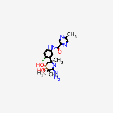 Cc1cnc(C(=O)Nc2ccc(F)c([C@]3(C)CS(O)(O)C(C)(C)C(N)=N3)c2)cn1